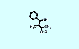 C/C(C(=N)c1ccccc1)=C(/N)C=O